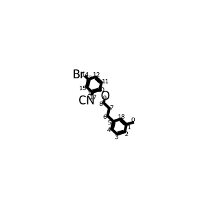 Cc1cccc(CCCOc2ccc(Br)cc2C#N)c1